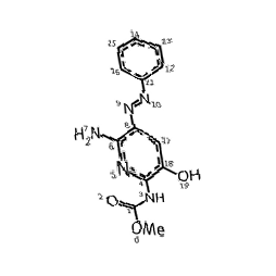 COC(=O)Nc1nc(N)c(/N=N/c2ccccc2)cc1O